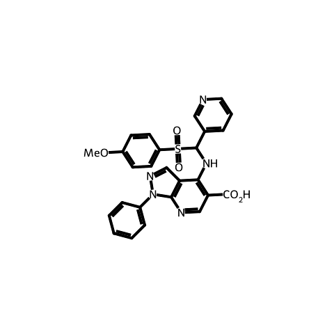 COc1ccc(S(=O)(=O)C(Nc2c(C(=O)O)cnc3c2cnn3-c2ccccc2)c2cccnc2)cc1